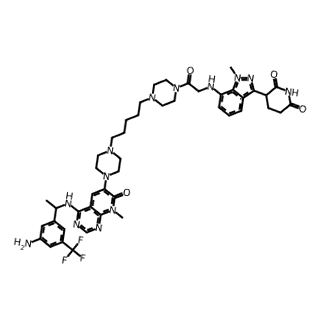 CC(Nc1ncnc2c1cc(N1CCN(CCCCCN3CCN(C(=O)CNc4cccc5c(C6CCC(=O)NC6=O)nn(C)c45)CC3)CC1)c(=O)n2C)c1cc(N)cc(C(F)(F)F)c1